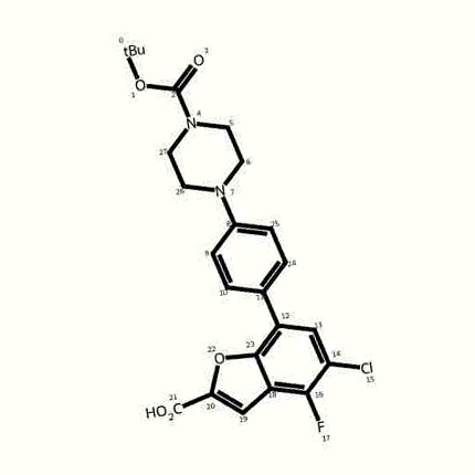 CC(C)(C)OC(=O)N1CCN(c2ccc(-c3cc(Cl)c(F)c4cc(C(=O)O)oc34)cc2)CC1